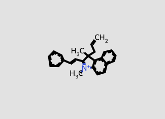 C=CCC1(C)C(/C=C/c2ccccc2)=[N+](C)c2ccc3ccccc3c21